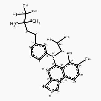 CC(C)(CCc1cccc(N(CC(F)F)c2nc3nncn3c3ccc(F)c(F)c23)c1)C(F)(F)F